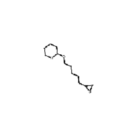 C(CCOC1CCCCO1)CCC1CO1